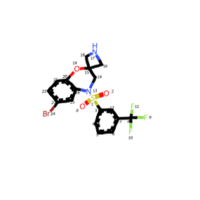 O=S(=O)(c1cccc(C(F)(F)F)c1)N1CC2(CNC2)Oc2ccc(Br)cc21